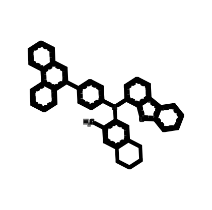 Cc1cc2c(cc1N(c1ccc(-c3cc4ccccc4c4ccccc34)cc1)c1cccc3c1oc1ccccc13)CCCC2